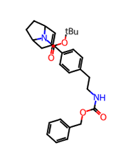 CC(C)(C)OC(=O)N1C2C=C(c3ccc(CCNC(=O)OCc4ccccc4)cc3)CC1CC2